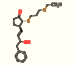 O=C(O)CSCCCS[C@H]1C(=O)CC[C@@H]1/C=C/C(O)Cc1ccccc1